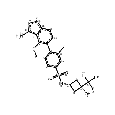 COc1c(-c2ccc(S(=O)(=O)N[C@H]3C[C@](O)(C(F)(F)F)C3)cc2C)ccc2[nH]nc(N)c12